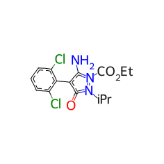 CCOC(=O)n1c(N)c(-c2c(Cl)cccc2Cl)c(=O)n1C(C)C